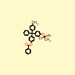 CCCC(C)(CC)Oc1ccc(C(c2ccccc2)(c2ccc(C)cc2)c2ccc(OC(=O)c3ccccc3)cc2)cc1